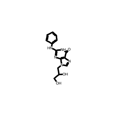 O=c1[nH]c(Nc2ccccc2)nc2c1ncn2CC(O)CO